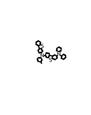 Cc1cccc(N(c2ccc3c(c2)sc2ccccc23)c2ccc3c(c2)sc2ccc(N(c4ccccc4)c4ccccc4)cc23)c1